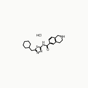 Cl.O=C(Nc1nnc(CC2CCCCC2)s1)c1ccc2c(c1)CCNC2